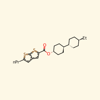 CCCc1cc2cc(C(=O)O[C@H]3CC[C@H]([C@H]4CC[C@H](CC)CC4)CC3)sc2s1